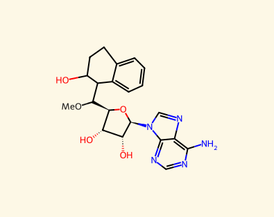 COC(C1c2ccccc2CCC1O)[C@H]1O[C@@H](n2cnc3c(N)ncnc32)[C@H](O)[C@@H]1O